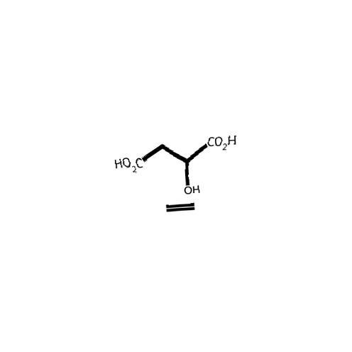 C=C.O=C(O)CC(O)C(=O)O